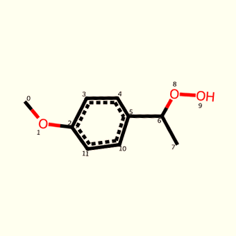 COc1ccc(C(C)OO)cc1